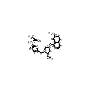 CC(=O)Nc1ncc(CN2C[C@H](Oc3nccc4ccc(C)cc34)C[C@@H]2C)s1